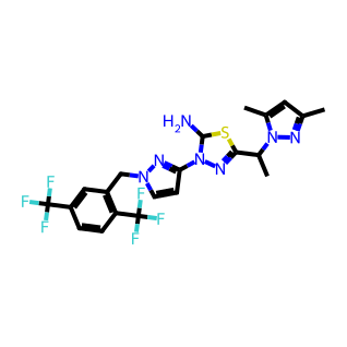 Cc1cc(C)n(C(C)C2=NN(c3ccn(Cc4cc(C(F)(F)F)ccc4C(F)(F)F)n3)C(N)S2)n1